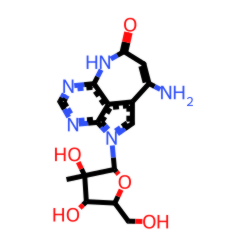 CC1(O)C(O)C(CO)OC1n1cc2c3c(ncnc31)NC(=O)C=C2N